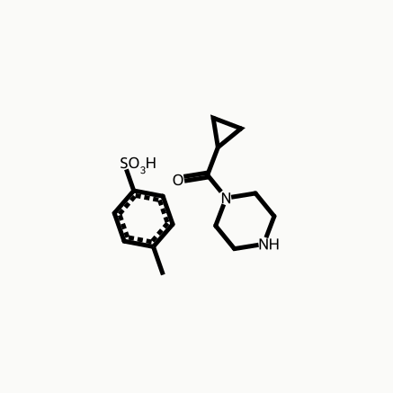 Cc1ccc(S(=O)(=O)O)cc1.O=C(C1CC1)N1CCNCC1